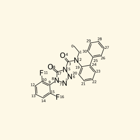 CCN(C(=O)n1nnn(-c2c(F)cccc2F)c1=O)c1ccccc1-c1ccccc1